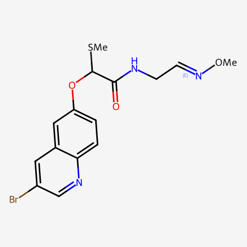 CO/N=C/CNC(=O)C(Oc1ccc2ncc(Br)cc2c1)SC